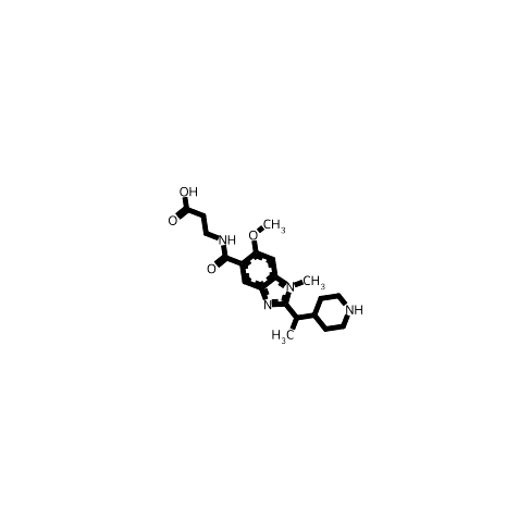 COc1cc2c(cc1C(=O)NCCC(=O)O)nc(C(C)C1CCNCC1)n2C